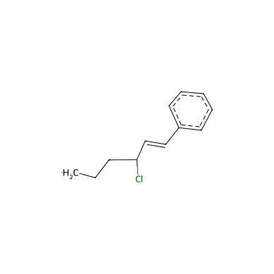 [CH2]CCC(Cl)C=Cc1ccccc1